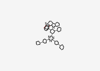 c1ccc(-c2ccc(-c3nc(-c4ccc(-c5ccccc5)cc4)nc(-c4cc(-c5ccccc5)c(-n5c6ccccc6c6ccc7sc8ccccc8c7c65)c(-c5ccccc5)c4)n3)cc2)cc1